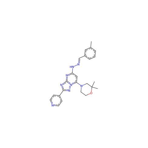 Cc1cccc(/C=N/Nc2cc(N3CCOC(C)(C)C3)n3nc(-c4ccncc4)nc3n2)c1